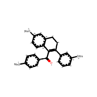 COc1ccc(C(=O)C2=C(c3cccc(OC)c3)CCc3cc(OC)ccc32)cc1